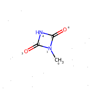 CN1C(=O)NC1=O